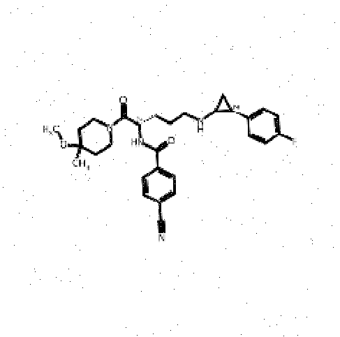 COC1(C)CCN(C(=O)[C@H](CCCNC2C[C@H]2c2ccc(F)cc2)NC(=O)c2ccc(C#N)cc2)CC1